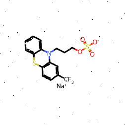 O=S(=O)([O-])OCCCN1c2ccccc2Sc2ccc(C(F)(F)F)cc21.[Na+]